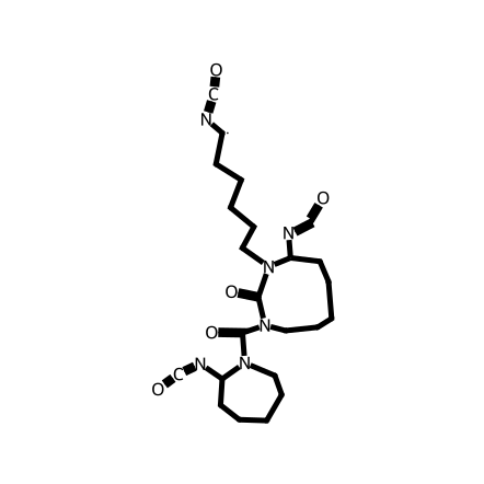 O=C=N[CH]CCCCCN1C(=O)N(C(=O)N2CCCCCC2N=C=O)CCCCCC1N=C=O